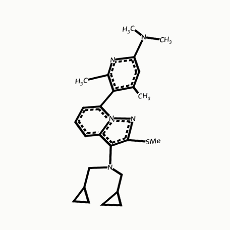 CSc1nn2c(-c3c(C)cc(N(C)C)nc3C)cccc2c1N(CC1CC1)CC1CC1